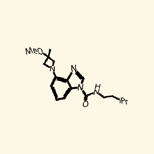 COC1(C)CN(c2cccc3c2ncn3C(=O)NCCC(C)C)C1